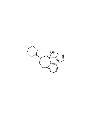 OC1(c2cccs2)CC(N2CCCCC2)CCc2ccccc21